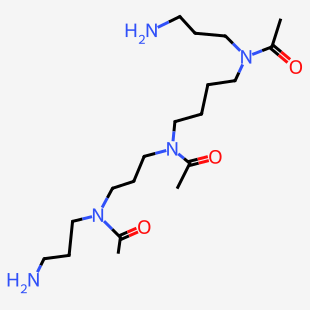 CC(=O)N(CCCN)CCCCN(CCCN(CCCN)C(C)=O)C(C)=O